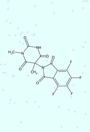 CN1C(=O)NC(=O)C(C)(N2C(=O)c3c(F)c(F)c(F)c(F)c3C2=O)C1=O